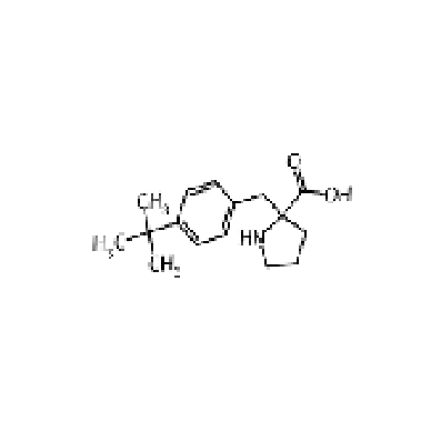 CC(C)(C)c1ccc(CC2(C(=O)O)CCCN2)cc1